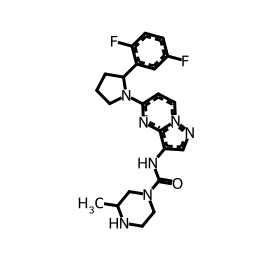 CC1CN(C(=O)Nc2cnn3ccc(N4CCCC4c4cc(F)ccc4F)nc23)CCN1